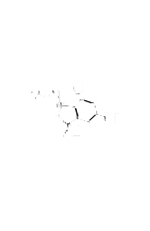 CN[C@@H]1C[C@H](C)c2cc(C(F)(F)F)ccc21.Cl